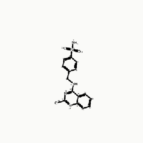 NS(=O)(=O)c1ccc(CNc2nc(Cl)nc3ccccc23)cc1